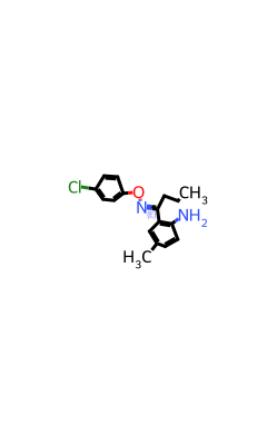 CCC/C(=N\Oc1ccc(Cl)cc1)c1cc(C)ccc1N